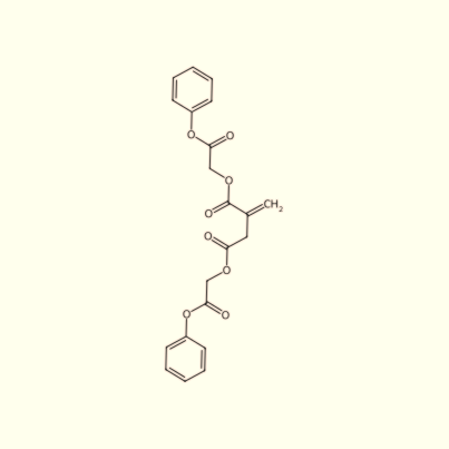 C=C(CC(=O)OCC(=O)Oc1ccccc1)C(=O)OCC(=O)Oc1ccccc1